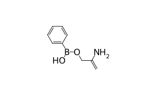 C=C(N)COB(O)c1ccccc1